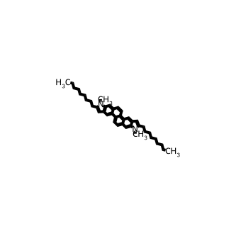 CCCCCCCCCc1cc2cc3c(ccc4c5cc6cc(CCCCCCCCC)n(C)c6cc5ccc34)cc2n1C